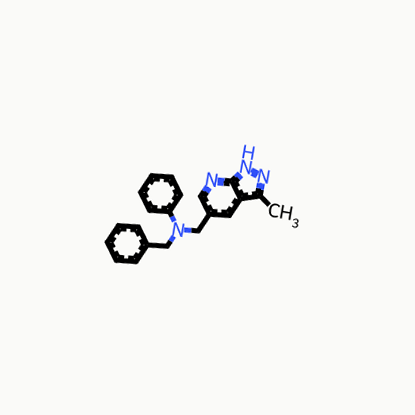 Cc1n[nH]c2ncc(CN(Cc3ccccc3)c3ccccc3)cc12